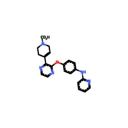 O=C(O)N1CC=C(c2nccnc2Oc2ccc(Nc3ccccn3)cc2)CC1